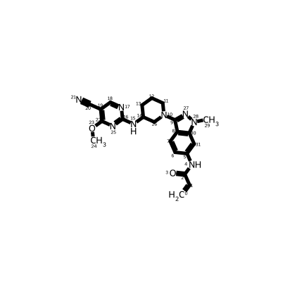 C=CC(=O)Nc1ccc2c(N3CCCC(Nc4ncc(C#N)c(OC)n4)C3)nn(C)c2c1